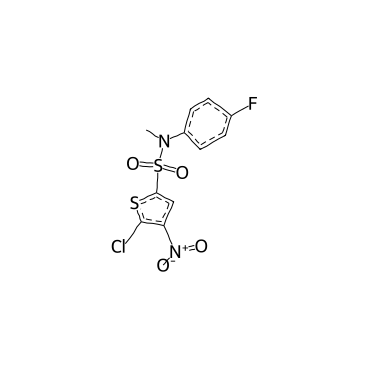 CN(c1ccc(F)cc1)S(=O)(=O)c1cc([N+](=O)[O-])c(Cl)s1